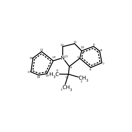 CC(C)(C)C1c2ccccc2CCN1c1ccccc1